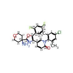 Cc1cc(Cl)cc(C)c1-n1cc(-c2nc(C3(N)CCOCC3)oc2-c2ccc(F)cc2F)ccc1=O